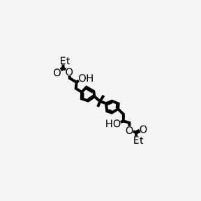 CCC(=O)OCC(O)Cc1ccc(C(C)(C)c2ccc(CC(O)COC(=O)CC)cc2)cc1